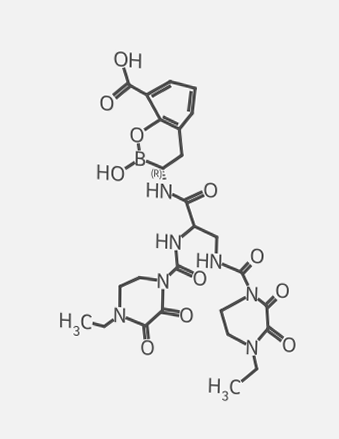 CCN1CCN(C(=O)NCC(NC(=O)N2CCN(CC)C(=O)C2=O)C(=O)N[C@H]2Cc3cccc(C(=O)O)c3OB2O)C(=O)C1=O